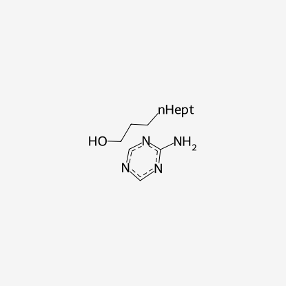 CCCCCCCCCCO.Nc1ncncn1